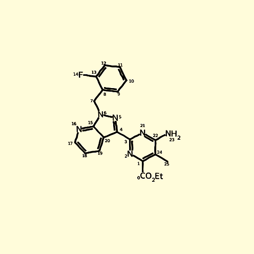 CCOC(=O)c1nc(-c2nn(Cc3ccccc3F)c3ncccc23)nc(N)c1C